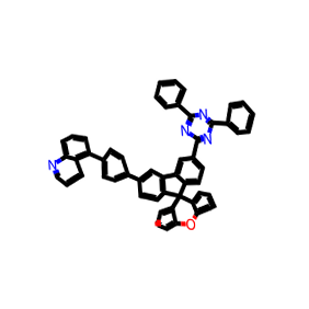 c1ccc(-c2nc(-c3ccccc3)nc(-c3ccc4c(c3)-c3cc(-c5ccc(-c6cccc7ncccc67)cc5)ccc3C43c4ccccc4Oc4ccccc43)n2)cc1